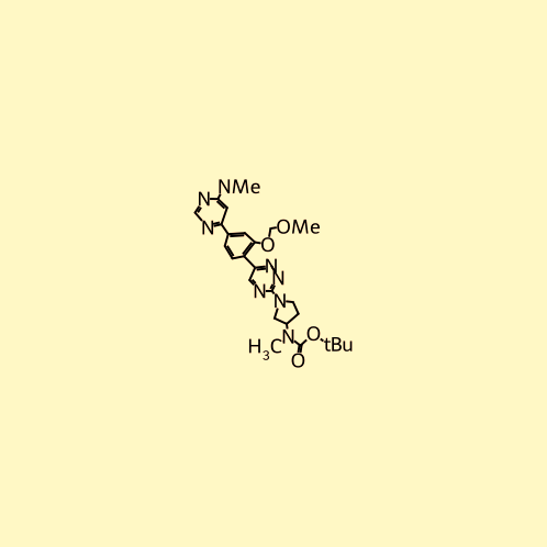 CNc1cc(-c2ccc(-c3cnc(N4CCC(N(C)C(=O)OC(C)(C)C)C4)nn3)c(OCOC)c2)ncn1